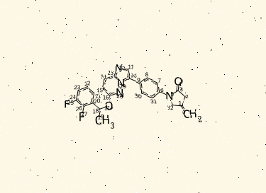 C=C1CC(=O)N(c2ccc(-c3cnc4ccc(OC(C)c5cccc(F)c5F)nn34)cc2)C1